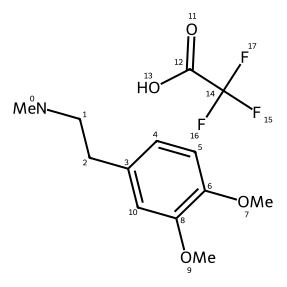 CNCCc1ccc(OC)c(OC)c1.O=C(O)C(F)(F)F